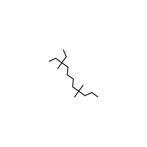 [CH2]CC(C)(CC)CCCCC(C)(C)CCC